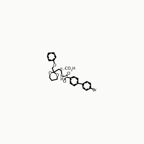 O=C(O)[C@@H](CC1(COc2ccccc2)OCCCO1)NS(=O)(=O)c1ccc(-c2ccc(Br)cc2)cc1